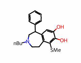 CCCCN1CCc2c(cc(O)c(O)c2SC)C(c2ccccc2)C1